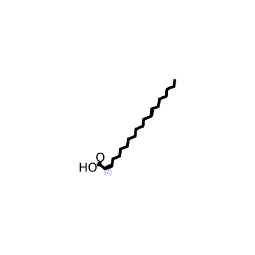 CCCCCCC=CCCCCCCCCC/C=C\C(=O)O